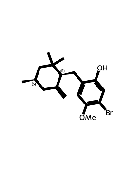 C=C1C[C@@H](C)CC(C)(C)[C@H]1Cc1cc(OC)c(Br)cc1O